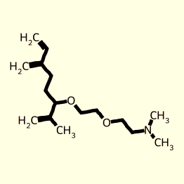 C=CC(=C)CCC(OCCOCCN(C)C)C(=C)C